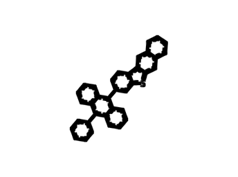 c1ccc(-c2c3ccccc3c(-c3ccc4c(c3)sc3cc5ccccc5cc34)c3ccccc23)cc1